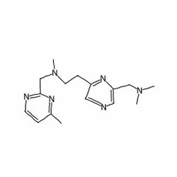 Cc1ccnc(CN(C)CCc2cncc(CN(C)C)n2)n1